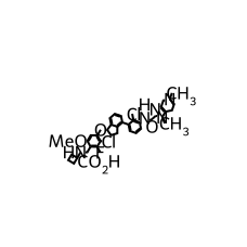 COc1cc(OC2CCc3c(-c4cccc(NC(=O)c5nc6c(n5C)CCN(C)C6)c4Cl)cccc32)c(Cl)c(F)c1CNC1(C(=O)O)CCC1